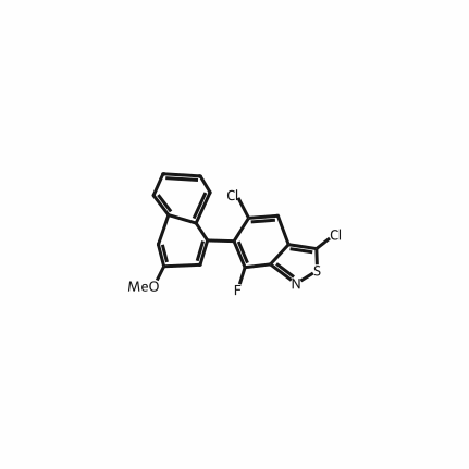 COc1cc(-c2c(Cl)cc3c(Cl)snc3c2F)c2ccccc2c1